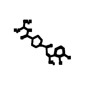 CC(=CC(=O)N1CCC(C(=O)NC(C)C(=O)O)CC1)c1cccc(Cl)c1Cl